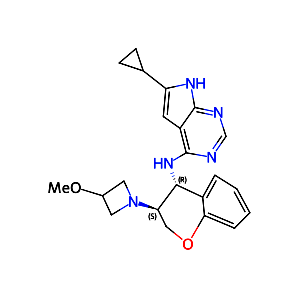 COC1CN([C@@H]2COc3ccccc3[C@H]2Nc2ncnc3[nH]c(C4CC4)cc23)C1